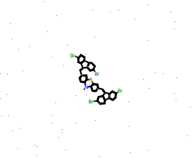 CN1c2ccc(C=C3c4cc(Br)ccc4-c4ccc(Br)cc43)cc2Sc2cc(C=C3c4cc(Br)ccc4-c4ccc(Br)cc43)ccc21